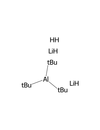 C[C](C)(C)[Al]([C](C)(C)C)[C](C)(C)C.[HH].[LiH].[LiH]